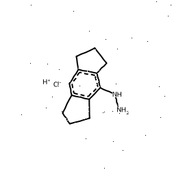 NNc1c2c(cc3c1CCC3)CCC2.[Cl-].[H+]